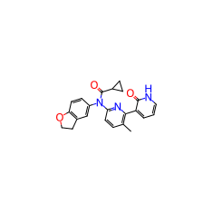 Cc1ccc(N(C(=O)C2CC2)c2ccc3c(c2)CCO3)nc1-c1ccc[nH]c1=O